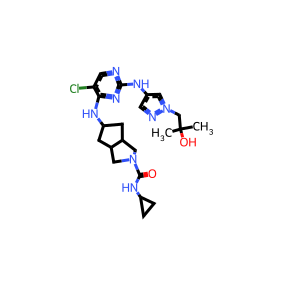 CC(C)(O)Cn1cc(Nc2ncc(Cl)c(NC3CC4CN(C(=O)NC5CC5)CC4C3)n2)cn1